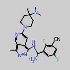 Cc1nnc(N[C@H](N)c2cc(F)cc(C#N)c2F)c2cc(N3CCC(C)(N(C)C)CC3)ncc12